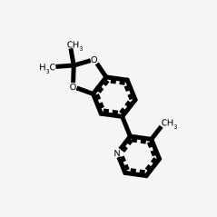 Cc1cccnc1-c1ccc2c(c1)OC(C)(C)O2